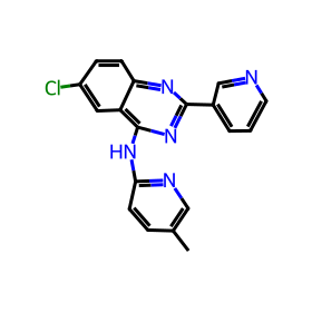 Cc1ccc(Nc2nc(-c3cccnc3)nc3ccc(Cl)cc23)nc1